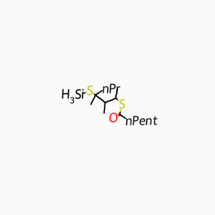 CCCCCC(=O)SC(C)C(C)C(C)(CCC)S[SiH3]